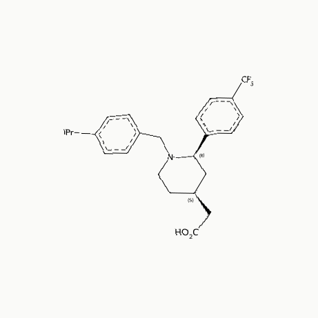 CC(C)c1ccc(CN2CC[C@H](CC(=O)O)C[C@@H]2c2ccc(C(F)(F)F)cc2)cc1